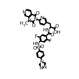 Cn1c(=O)n(-c2ccc(CC(NC(=O)c3cc(F)c(NS(=O)(=O)c4ccc(-n5cnnc5)cc4)cc3F)C(=O)O)cn2)c(=O)c2ccncc21